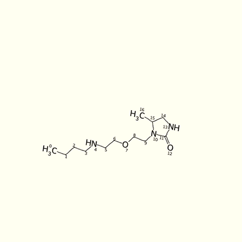 CCCCNCCOCCN1C(=O)NCC1C